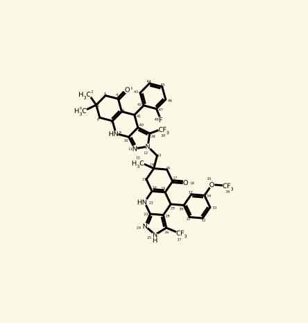 CC1(C)CC(=O)C2=C(C1)Nc1nn(CC3(C)CC(=O)C4=C(C3)Nc3n[nH]c(C(F)(F)F)c3C4c3cccc(OC(F)(F)F)c3)c(C(F)(F)F)c1C2c1ccccc1F